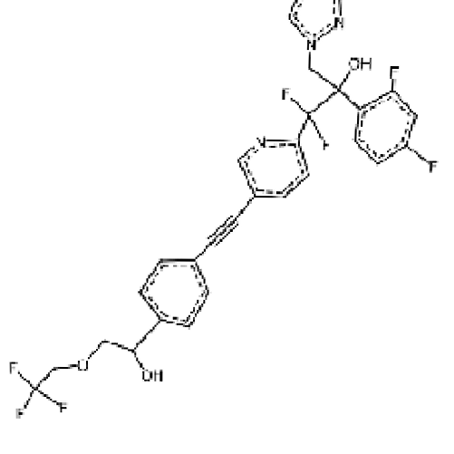 OC(COCC(F)(F)F)c1ccc(C#Cc2ccc(C(F)(F)C(O)(Cn3cnnn3)c3ccc(F)cc3F)nc2)cc1